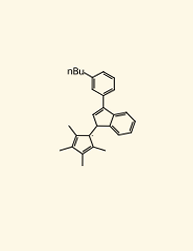 CCCCc1cccc(C2=CC([C]3C(C)=C(C)C(C)=C3C)c3ccccc32)c1